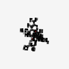 C[C@@H](NC(=O)c1cn(C2CCC2)c(=O)cc1N[C@H]1[C@@H]2CC[C@H]1CN(C)C2)c1cccc(C(F)F)c1F